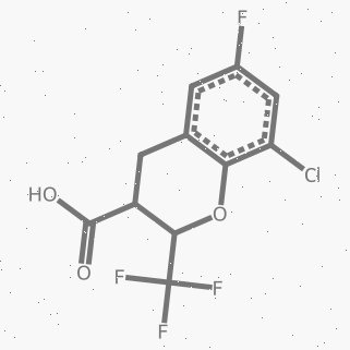 O=C(O)C1Cc2cc(F)cc(Cl)c2OC1C(F)(F)F